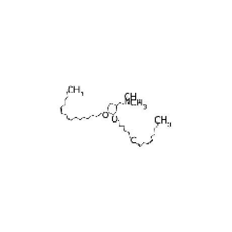 CCCCC/C=C\C/C=C\CCCCCCCOC1CCC(CCN(C)C)CC1OCCCCCCC/C=C\C/C=C\CCCCC